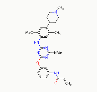 C=CC(=O)Nc1cccc(Oc2nc(NC)nc(Nc3cc(C)c(C4CCN(C)CC4)cc3OC)n2)c1